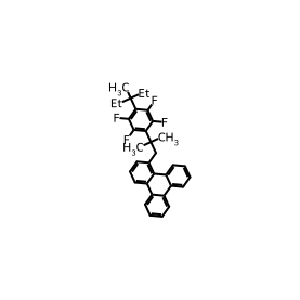 CCC(C)(CC)c1c(F)c(F)c(C(C)(C)Cc2cccc3c4ccccc4c4ccccc4c23)c(F)c1F